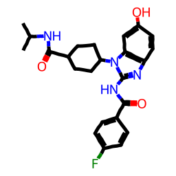 CC(C)NC(=O)C1CCC(n2c(NC(=O)c3ccc(F)cc3)nc3ccc(O)cc32)CC1